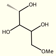 COCC(O)C(O)[C@H](C)O